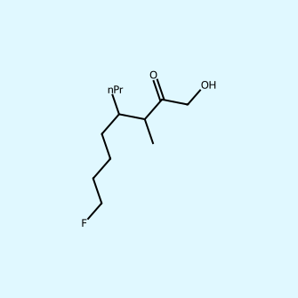 CCCC(CCCCF)C(C)C(=O)CO